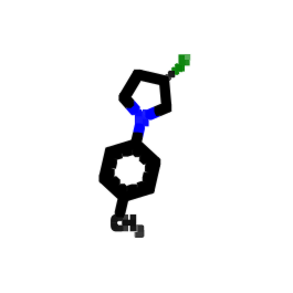 Cc1ccc(N2CC[C@H](F)C2)cc1